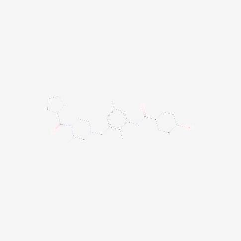 Cc1c(CN2CCN(C(=O)C3CCCC3)C(C)C2)cc(Cl)cc1NC(=O)C1CCC(O)CC1